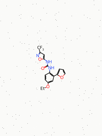 CCOc1ccc(NC(=O)Nc2cc(C(F)(F)F)no2)c(-c2ccco2)c1